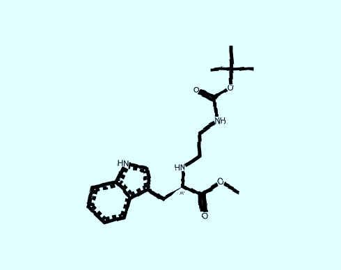 COC(=O)[C@@H](Cc1c[nH]c2ccccc12)NCCNC(=O)OC(C)(C)C